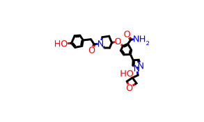 NC(=O)c1cc(-c2cnn(CC3(O)COC3)c2)ccc1OC1CCN(C(=O)Cc2ccc(O)cc2)CC1